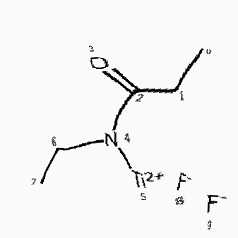 CCC(=O)[N]([Ti+2])CC.[F-].[F-]